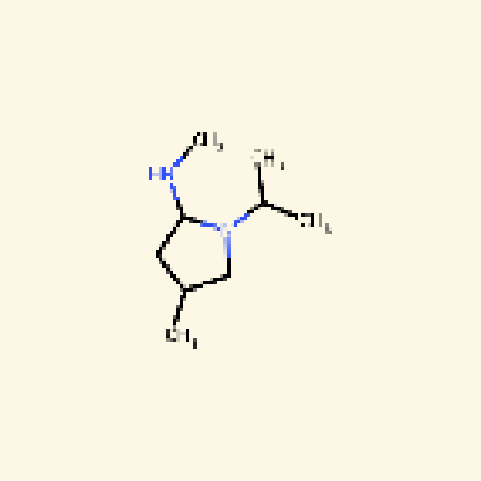 CNC1CC(C)CN1C(C)C